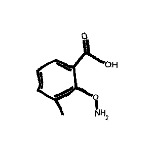 Cc1cccc(C(=O)O)c1ON